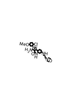 COc1ccc(Cl)c(-n2nc3c(c2N)c(=O)[nH]c2cc(NCCCN4CCOCC4)ccc23)c1